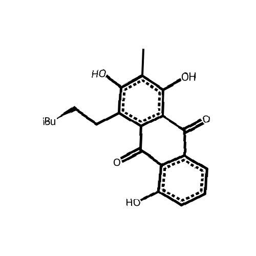 CC[C@H](C)CCc1c(O)c(C)c(O)c2c1C(=O)c1c(O)cccc1C2=O